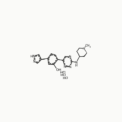 CN1CCC(Nc2ncc(-c3ccc(-c4cn[nH]c4)cc3O)nn2)CC1.Cl.Cl.Cl